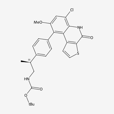 COc1cc(Cl)c2[nH]c(=O)c3sccc3c2c1-c1ccc([C@H](C)CNC(=O)OC(C)(C)C)cc1